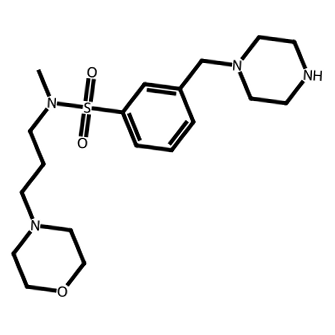 CN(CCCN1CCOCC1)S(=O)(=O)c1cccc(CN2CCNCC2)c1